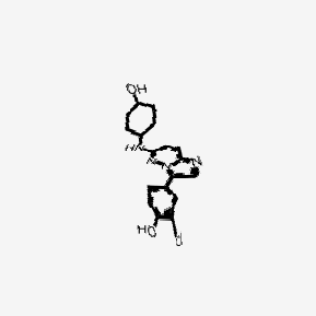 Oc1ccc(-c2cnc3ccc(NC4CCC(O)CC4)nn23)cc1Cl